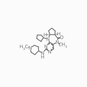 CN1CCC(Nc2ncc3c(n2)N(C2CCCC2)[C@@H]2CCC[C@@H]2C(=O)N3C)CC1